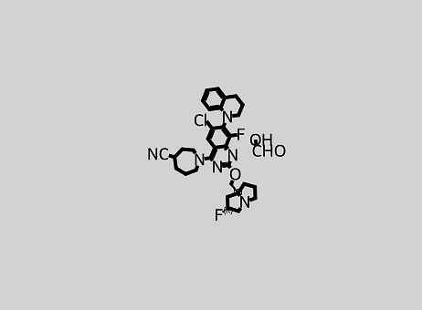 N#CC1CCCN(c2nc(OC[C@@]34CCCN3C[C@H](F)C4)nc3c(F)c(N4CCCc5ccccc54)c(Cl)cc23)CC1.O=CO